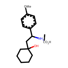 CC(=O)O.COc1ccc(C(N)CC2(O)CCCCC2)cc1